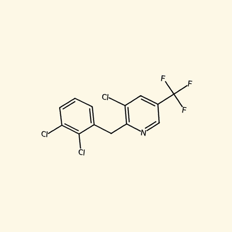 FC(F)(F)c1cnc(Cc2cccc(Cl)c2Cl)c(Cl)c1